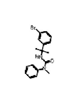 CN(C(=O)NC(C)(C)c1cccc(Br)c1)c1ccccc1